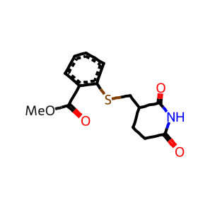 COC(=O)c1ccccc1SCC1CCC(=O)NC1=O